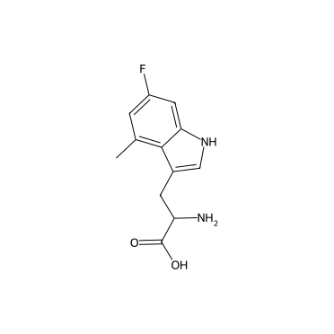 Cc1cc(F)cc2[nH]cc(CC(N)C(=O)O)c12